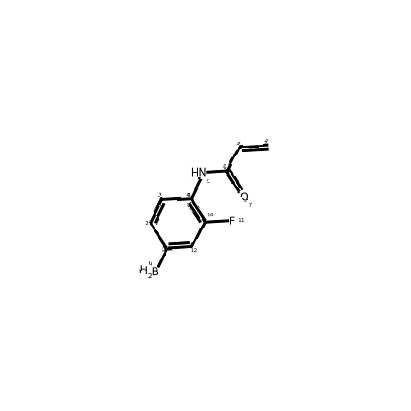 Bc1ccc(NC(=O)C=C)c(F)c1